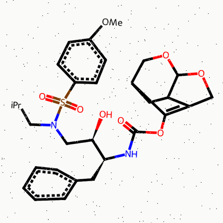 COc1ccc(S(=O)(=O)N(CC(C)C)C[C@@H](O)[C@H](Cc2ccccc2)NC(=O)OC2=C3COC4OCC2CC34)cc1